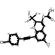 O=C(O)OC1=Cc2cc(Cl)cc(C#Cc3ccc(Cl)cc3)c2OC1C(F)(F)F